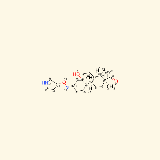 C[C@]12CC[C@@H]3[C@@H](CCC4(O)C/C(=N\O[C@@H]5CCNC5)CC[C@]34C)[C@@H]1CCC2=O